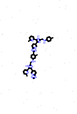 Cc1ccc(NCc2nc(-c3ccc4nc(-c5ccc(NCc6nc(-c7ccc8ncnn8c7)c(-c7cccc(C)n7)[nH]6)cc5C)nn4c3)c(-c3cccc(C)n3)[nH]2)cc1